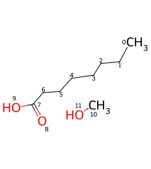 CCCCCCCC(=O)O.CO